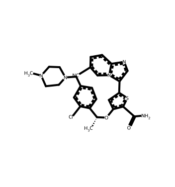 C[C@@H](Oc1cc(-c2cnc3ccc(C#N)cn23)sc1C(N)=O)c1ccc(CN2CCN(C)CC2)cc1Cl